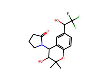 CC1(C)Oc2ccc(C(O)C(F)(F)F)cc2C(N2CCCC2=O)C1O